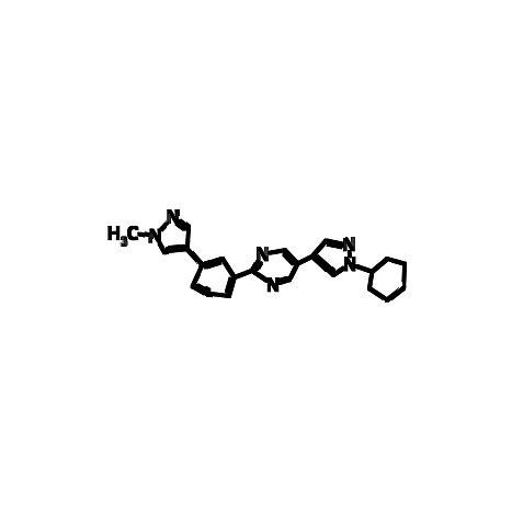 Cn1cc(-c2cccc(-c3ncc(-c4cnn(C5CCCCC5)c4)cn3)c2)cn1